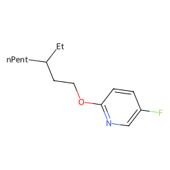 CCCCCC(CC)CCOc1ccc(F)cn1